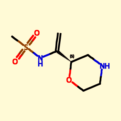 C=C(NS(C)(=O)=O)[C@@H]1CNCCO1